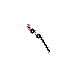 CCCCCCCCCCCCc1ccc(N=Nc2ccc(OCCO)cc2)cc1